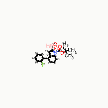 CC(C)(C)OC(=O)n1c(BO)cc2c(-c3ccccc3F)cccc21